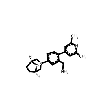 Cc1cc(-c2ccc(N3C[C@H]4CC[C@@H](C3)O4)cc2CN)cc(C)n1